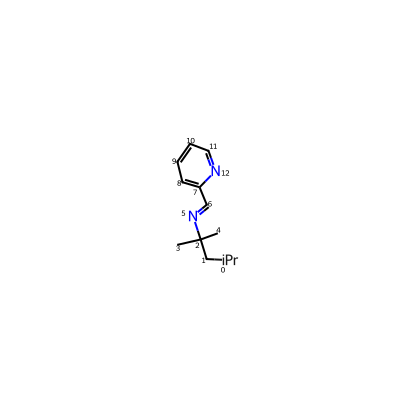 CC(C)CC(C)(C)/N=C/c1ccccn1